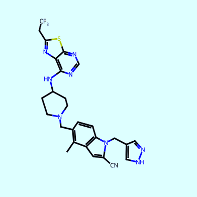 Cc1c(CN2CCC(Nc3ncnc4sc(CC(F)(F)F)nc34)CC2)ccc2c1cc(C#N)n2Cc1cn[nH]c1